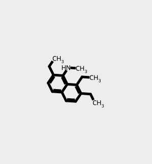 CCc1ccc2ccc(CC)c(NC)c2c1CC